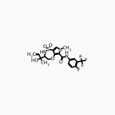 C=CC(C)(O)C1COc2c(cn(C)c2C(=O)Nc2ccc(F)c(C(F)(F)F)c2)S(=O)(=O)N1